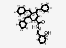 O=C(NN=Cc1ccccc1O)C1=CC(=Cc2ccccc2)C(=Cc2ccccc2)C(=Cc2ccccc2)C1